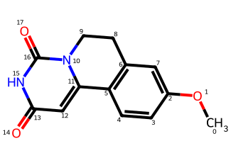 COc1ccc2c(c1)CCn1c-2cc(=O)[nH]c1=O